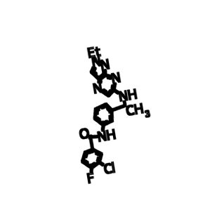 CCn1cc2ncc(N[C@@H](C)c3cccc(NC(=O)c4ccc(F)c(Cl)c4)c3)nc2n1